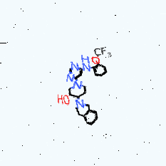 O[C@@H]1CN(c2cc(Nc3ccccc3OCC(F)(F)F)ncn2)CCC1N1CCc2ccccc2C1